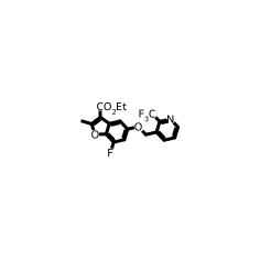 CCOC(=O)c1c(C)oc2c(F)cc(OCc3cccnc3C(F)(F)F)cc12